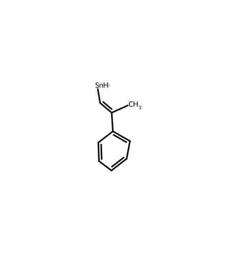 CC(=[CH][SnH])c1ccccc1